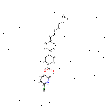 CCCCCCC[C@H]1CC[C@H](C2CCC(C(=O)Oc3ccc(F)nc3)CC2)CC1